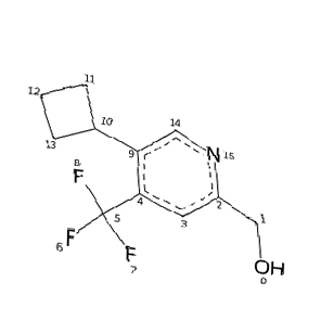 OCc1cc(C(F)(F)F)c(C2CCC2)cn1